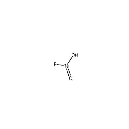 O=[Te](O)F